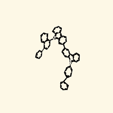 c1ccc(-c2ccc(-n3c4ccccc4c4cc(-c5ccc6c7ccccc7n(-c7ccc(-c8ccccc8)c8ccccc78)c6c5)ccc43)cc2)cc1